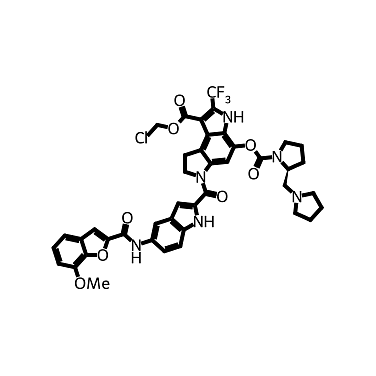 COc1cccc2cc(C(=O)Nc3ccc4[nH]c(C(=O)N5CCc6c5cc(OC(=O)N5CCC[C@H]5CN5CCCC5)c5[nH]c(C(F)(F)F)c(C(=O)OCCl)c65)cc4c3)oc12